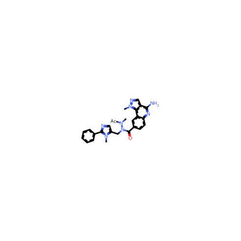 CC(=O)N(C)N(Cc1cnc(-c2ccccc2)n1C)C(=O)c1ccc2nc(N)c3cnn(C)c3c2c1